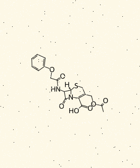 CC(=O)OCC1=C(C(=O)O)N2C(=O)C(NC(=O)COc3ccccc3)[C@@H]2SC1